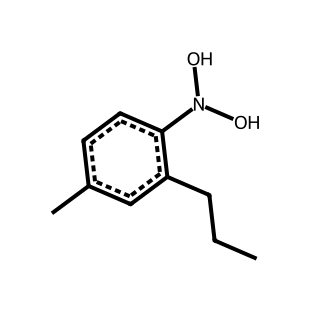 CCCc1cc(C)ccc1N(O)O